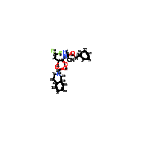 CC(C#N)(NC(=O)C(CC(F)F)OC(=O)N1CCc2ccccc2C1)OCc1ccccc1